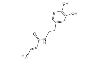 C/C=C/C(=O)NCCc1ccc(O)c(O)c1